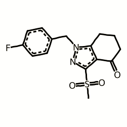 CS(=O)(=O)c1nn(Cc2ccc(F)cc2)c2c1C(=O)CCC2